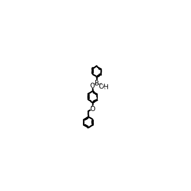 OB(Oc1ccc(OCc2ccccc2)cc1)c1ccccc1